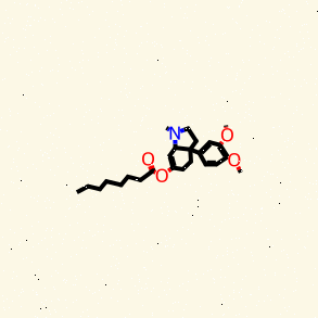 CCCCCCCC(=O)OC1=CC2N(C)CCC2(c2ccc(OC)c(OC)c2)CC1